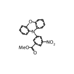 COC(=O)c1cc(N2c3ccccc3Oc3ccccc32)cc([N+](=O)[O-])c1